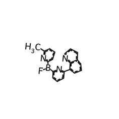 Cc1cccc(B(F)c2cccc(-c3cccc4cccnc34)n2)n1